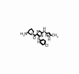 Cc1cc(Nc2cnc(C(=O)N3CCC[C@@H](N)C3)c(Nc3ccc(Cl)cc3)n2)n[nH]1